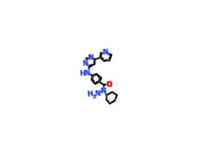 NN(C(=O)c1ccc(Nc2cc(-c3cccnc3)ncn2)cc1)C1CCCCC1